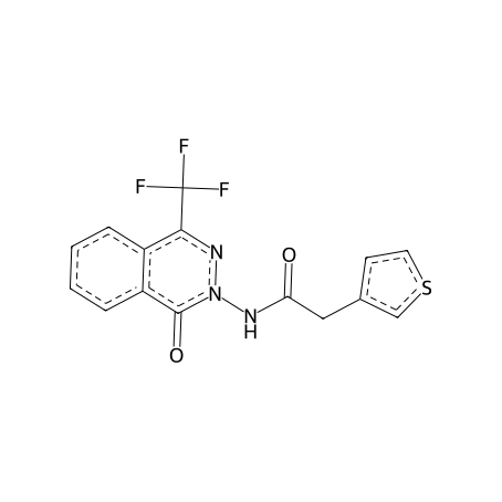 O=C(Cc1ccsc1)Nn1nc(C(F)(F)F)c2ccccc2c1=O